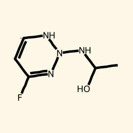 CC(O)NN1N=C(F)C=[C]N1